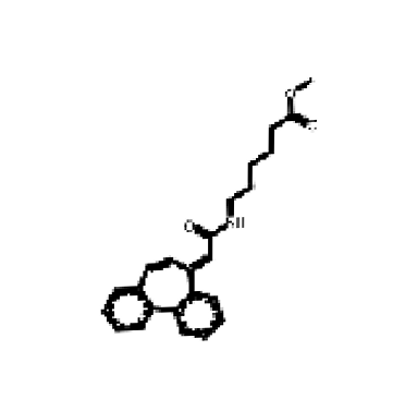 COC(=O)CCCCCNC(=O)C=C1C=Cc2ccccc2-c2ccccc21